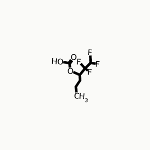 CCCC(OC(=O)O)C(F)(F)C(F)F